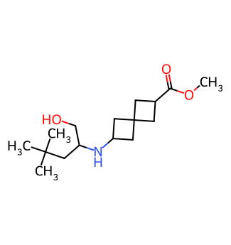 COC(=O)C1CC2(CC(NC(CO)CC(C)(C)C)C2)C1